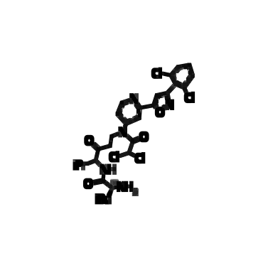 CCC(C)[C@H](N)C(=O)NC(C(=O)CCN(C(=O)C(Cl)Cl)c1ccnc(-c2cc(-c3c(Cl)cccc3Cl)no2)c1)C(C)C